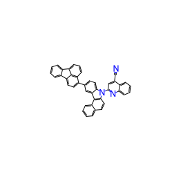 N#Cc1cc(-n2c3ccc(-c4ccc5c6c(cccc46)-c4ccccc4-5)cc3c3c4ccccc4ccc32)nc2ccccc12